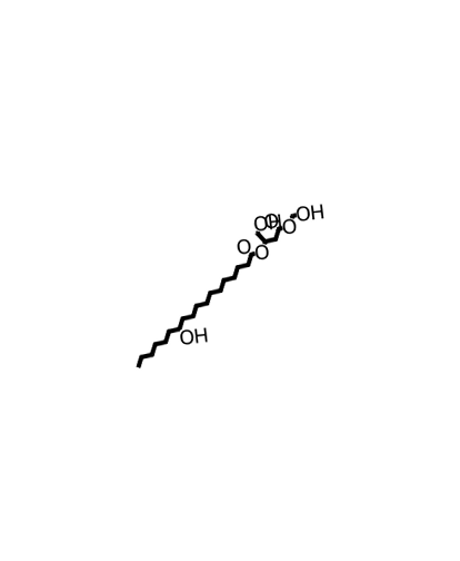 CCCCCCC(O)CCCCCCCCCCC(=O)OC(CO)CC(=O)OCO